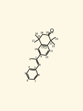 C/C(=C\c1ccccc1)c1ccc2c(c1)C(C)(C)CC(=O)C2(C)C